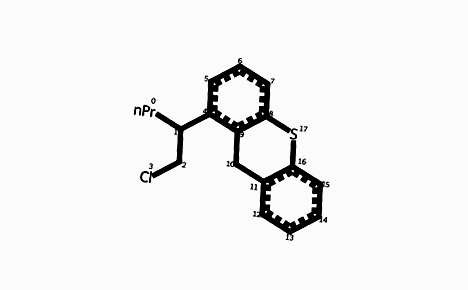 CCCC(CCl)c1cccc2c1Cc1ccccc1S2